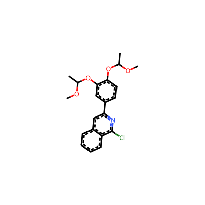 COC(C)Oc1ccc(-c2cc3ccccc3c(Cl)n2)cc1OC(C)OC